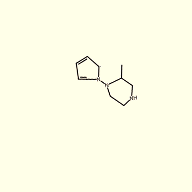 CC1CNCCN1N1[CH]C=CC=C1